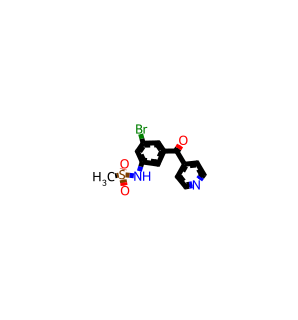 CS(=O)(=O)Nc1cc(Br)cc(C(=O)c2ccncc2)c1